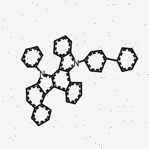 c1ccc(-c2ccc(-n3c4ccccc4c4c3c3ccccc3c3c5c6ccccc6ccc5n(-c5ccccc5)c34)cc2)cc1